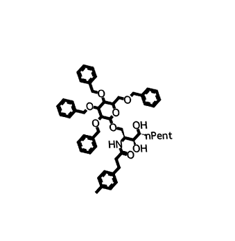 CCCCC[C@@H](O)[C@@H](O)[C@H](COC1OC(COCc2ccccc2)C(OCc2ccccc2)C(OCc2ccccc2)C1OCc1ccccc1)NC(=O)CCc1ccc(C)cc1